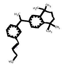 CC(c1cccc(/C=C/CO)c1)c1ccc2c(c1)C(C)(C)CCC2(C)C